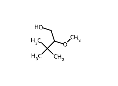 COC(CO)C(C)(C)C